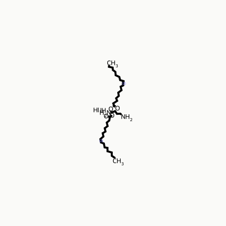 CCCCCCCC/C=C\CCCCCCCC(=O)OC(N)(CCCN)OC(=O)CCCCCCC/C=C\CCCCCCCC.I.I